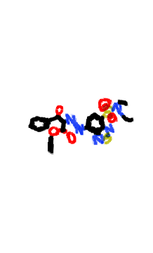 C#COC(=O)C(/N=N/c1ccc(S(=O)(=O)N(CC)CC)c2nsnc12)C(=O)c1ccccc1